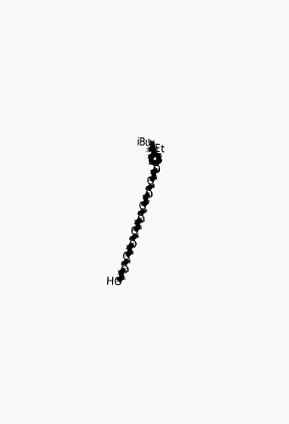 CCC(C)CC(C)(CC)c1ccc(OCCOCCOCCOCCOCCOCCOCCOCCOCCO)cc1